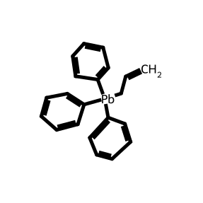 C=C[CH2][Pb]([c]1ccccc1)([c]1ccccc1)[c]1ccccc1